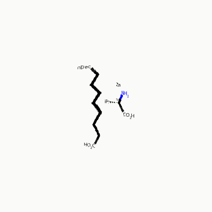 CC(C)[C@H](N)C(=O)O.CCCCCCCCCCCCCCCCCC(=O)O.[Zn]